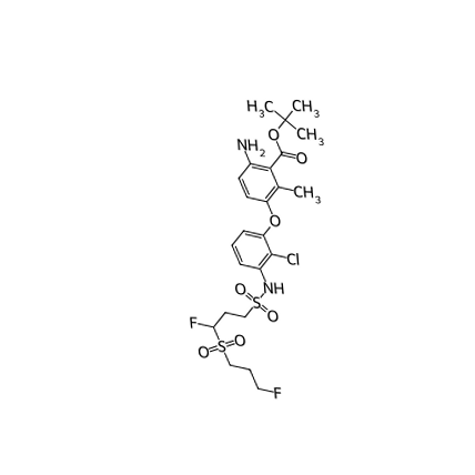 Cc1c(Oc2cccc(NS(=O)(=O)CCC(F)S(=O)(=O)CCCF)c2Cl)ccc(N)c1C(=O)OC(C)(C)C